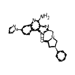 Nc1nc2cc(-n3cccn3)ccc2c2[nH]c(CN3C[C@@H](c4ccccc4)CC3=O)nc12